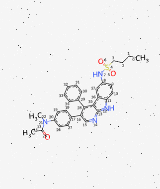 CCCCS(=O)(=O)Nc1ccc2[nH]c3ncc(-c4ccc(N(C)C(C)=O)cc4)c(-c4ccccc4)c3c2c1